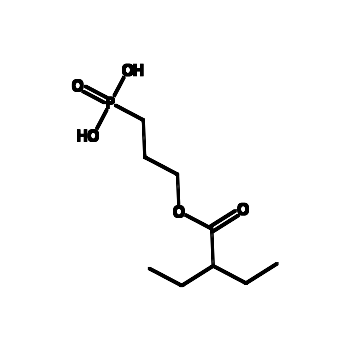 CCC(CC)C(=O)OCCCP(=O)(O)O